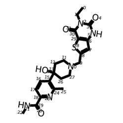 CCn1c(=O)[nH]c2cc(CN3CCC(O)(c4ccc(C(=O)NC)nc4C)CC3)sc2c1=O